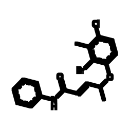 Cc1c(Cl)ccc(OC(C)C=CC(=O)Nc2ccccc2)c1Br